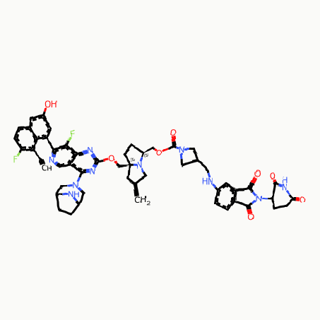 C#Cc1c(F)ccc2cc(O)cc(-c3ncc4c(N5CC6CCC(C5)N6)nc(OC[C@@]56CC[C@@H](COC(=O)N7CC(CNc8ccc9c(c8)C(=O)N(C8CCC(=O)NC8=O)C9=O)C7)N5CC(=C)C6)nc4c3F)c12